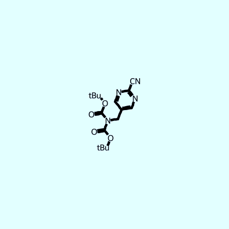 CC(C)(C)OC(=O)N(Cc1cnc(C#N)nc1)C(=O)OC(C)(C)C